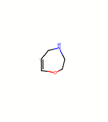 [C]1=COCCNC1